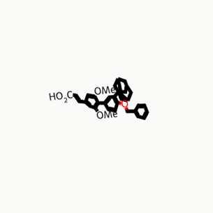 COc1cc(C=CC(=O)O)cc(OC)c1-c1ccc(OCc2ccccc2)c(C23CC4CC(CC(C4)C2)C3)c1